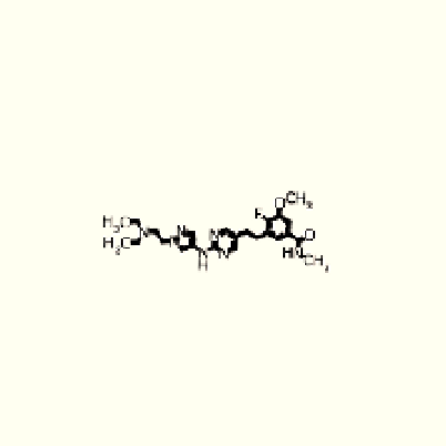 CCN(CC)CCn1cc(Nc2ncc(CCc3cc(C(=O)NC)cc(OC)c3F)cn2)cn1